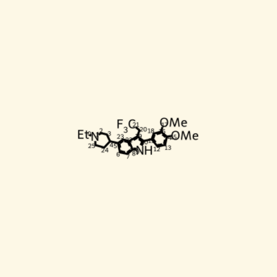 [CH2]CN1CCC(c2ccc3[nH]c(-c4ccc(OC)c(OC)c4)c(CC(F)(F)F)c3c2)CC1